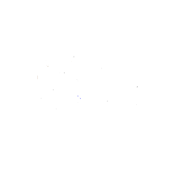 CC1(Br)SN(Cc2ccccc2)C(=O)C1(Br)Br